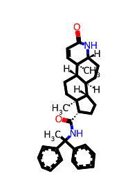 CC(NC(=O)[C@H]1CC[C@H]2[C@@H]3CC[C@H]4NC(=O)C=C[C@]4(C)[C@H]3CC[C@]12C)(c1ccccc1)c1ccccc1